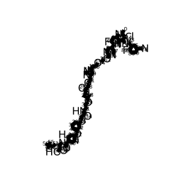 Cc1nc2cc(F)c(-c3cnc(OCCOCCn4cc(COCC(=O)N5CC(OCCNC(=O)COc6cccc(Oc7ccc(C(=O)N[C@@H](CCC(C)(C)C)C(=O)O)cn7)c6)C5)nn4)nc3)nc2c(N[C@H](C)c2cc(C#N)ccc2F)c1Cl